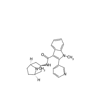 CN1[C@@H]2CC[C@H]1C[C@@H](NC(=O)c1c(-c3cccnc3)n(C)c3ccccc13)C2